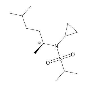 CC(C)CC[C@H](C)N(C1CC1)S(=O)(=O)C(C)C